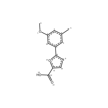 COc1cc(F)cc(-c2ncc(C(=O)O)o2)c1